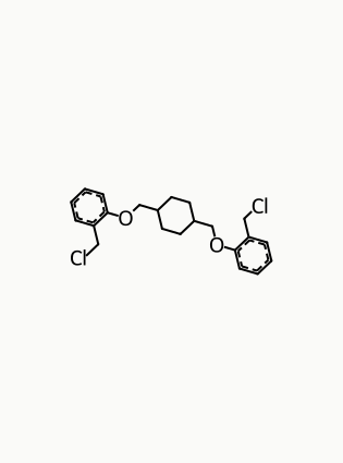 ClCc1ccccc1OCC1CCC(COc2ccccc2CCl)CC1